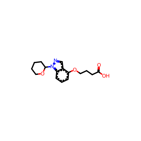 O=C(O)CCCOc1cccc2c1cnn2C1CCCCO1